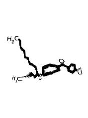 CCCCCCCCC(CCC)Sc1ccc(C(=O)c2ccc(Cl)cc2)cc1